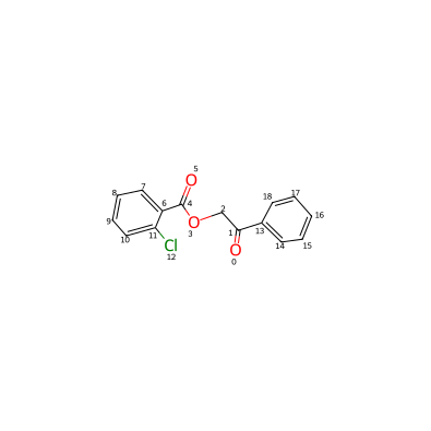 O=C(COC(=O)c1ccccc1Cl)c1ccccc1